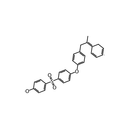 CC(Cc1ccc(Oc2ccc(S(=O)(=O)c3ccc([O])cc3)cc2)cc1)=C1C=C[C]=CC1